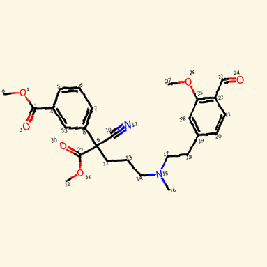 COC(=O)c1cccc(C(C#N)(CCCN(C)CCc2ccc(C=O)c(OC)c2)C(=O)OC)c1